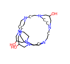 OC1CN2CCN3CCN4CCN(CCN(CCN(CC2)C1)CCN1CCN(CC3)CC(O)C1)CC(O)C4